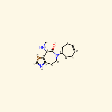 CNC1C(=O)N(C2CCC=CCC2)CCc2ncsc21